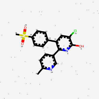 Cc1ccc(-c2nc(O)c(Cl)cc2-c2ccc(S(C)(=O)=O)cc2)cn1